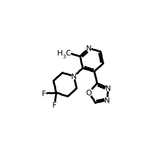 Cc1nccc(-c2nnco2)c1N1CCC(F)(F)CC1